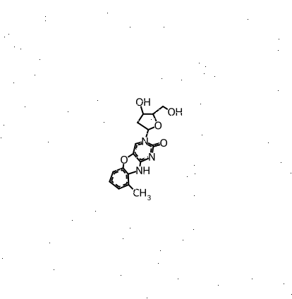 Cc1cccc2c1Nc1nc(=O)n(C3CC(O)C(CO)O3)cc1O2